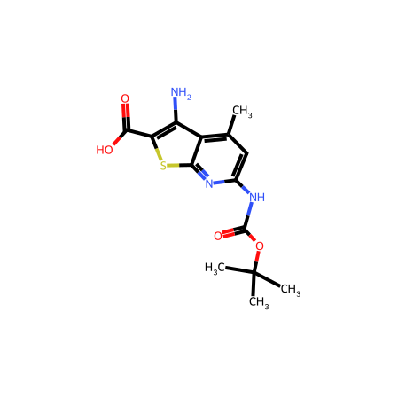 Cc1cc(NC(=O)OC(C)(C)C)nc2sc(C(=O)O)c(N)c12